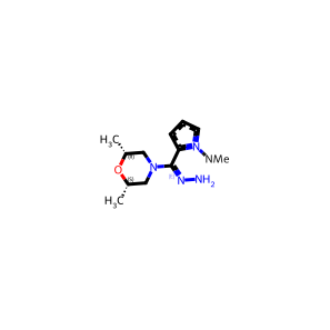 CNn1cccc1/C(=N\N)N1C[C@@H](C)O[C@@H](C)C1